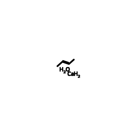 CC=CC.O.[CaH2]